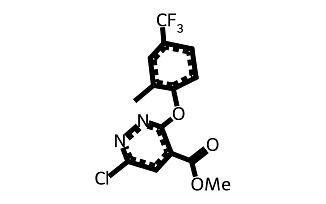 COC(=O)c1cc(Cl)nnc1Oc1ccc(C(F)(F)F)cc1C